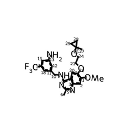 COc1cc2nc(C)nc(NCc3cc(N)cc(C(F)(F)F)c3)c2cc1OCCOC1(C)CC1